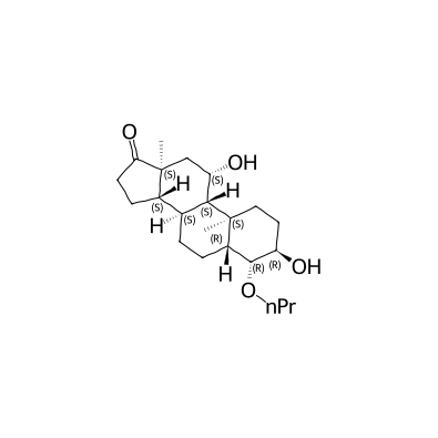 CCCO[C@H]1[C@H](O)CC[C@]2(C)[C@@H]3[C@@H](CC[C@@H]12)[C@@H]1CCC(=O)[C@@]1(C)C[C@@H]3O